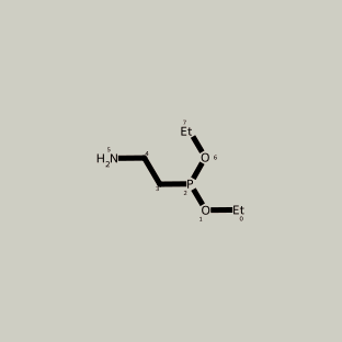 CCOP(CCN)OCC